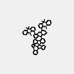 CN1c2ccccc2C(C)(C)c2cccc(-c3cccc4c(-c5cccc6c5-c5ccccc5C65c6ccccc6-c6c5c5ccccc5c5ccccc65)c5cccc(-c6cccc7c6N(C)c6ccccc6C7(C)C)c5cc34)c21